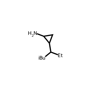 CCC(C)C(CC)C1CC1N